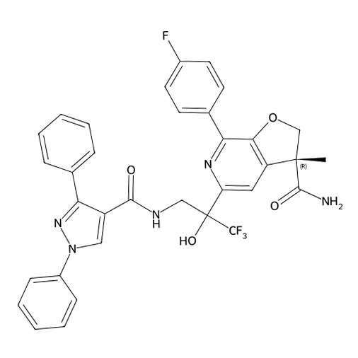 C[C@]1(C(N)=O)COc2c1cc(C(O)(CNC(=O)c1cn(-c3ccccc3)nc1-c1ccccc1)C(F)(F)F)nc2-c1ccc(F)cc1